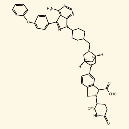 Nc1ncnc2c1c(-c1ccc(Oc3ccccc3)cc1)nn2C1CCC(CN2C[C@@H]3C[C@H]2CN3c2ccc3c(c2)C(C(=O)C=O)N(C2CCC(=O)NC2=O)C3)CC1